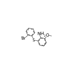 COc1cccc(Sc2ccccc2Br)c1N